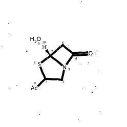 CC(=O)C1CN2C(=O)C[C@H]2S1.O